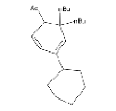 CCCCC1(CCCC)C=C(C2CCCCC2)C=CC1C(C)=O